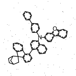 c1ccc(-c2ccc(N(c3ccc4c(c3)oc3ccccc34)c3ccc(-c4cccc5c4-c4ccccc4C54CC5CCC4C5)c4ccccc34)cc2)cc1